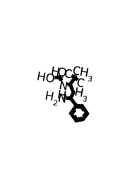 CC(C)(C)C(CC(N)c1ccccc1)NC(=O)O